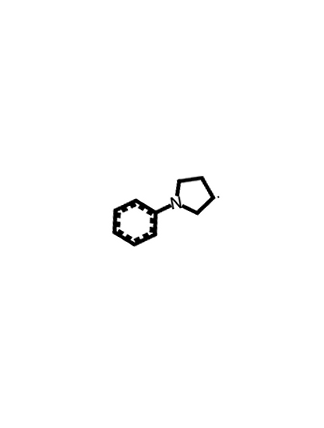 [CH]1CCN(c2ccccc2)C1